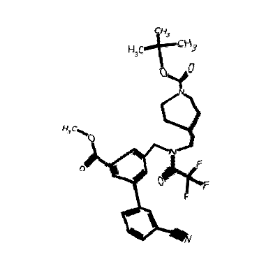 COC(=O)c1cc(CN(CC2CCN(C(=O)OC(C)(C)C)CC2)C(=O)C(F)(F)F)cc(-c2cccc(C#N)c2)c1